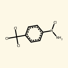 NN(Cl)c1ccc(C(Cl)(Cl)Cl)cc1